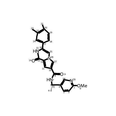 COc1ccc([C@H](C)NC(=O)c2cc3c(=O)[nH]c(-c4ccc(C)c(C)c4)cn3c2)cn1